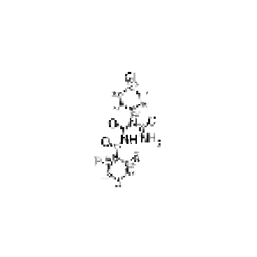 NC(=O)N(C(=O)NC(=O)c1c(F)cccc1F)c1ccc(Cl)cc1